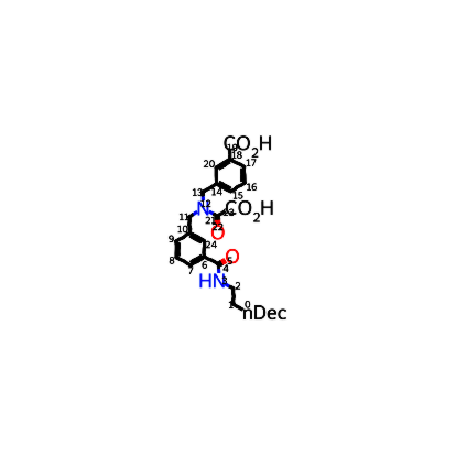 CCCCCCCCCCCCNC(=O)c1cccc(CN(Cc2cccc(C(=O)O)c2)C(=O)C(=O)O)c1